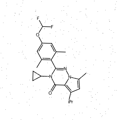 Cc1cc(OC(F)F)cc(C)c1-c1nn2c(C)cc(C(C)C)c2c(=O)n1C1CC1